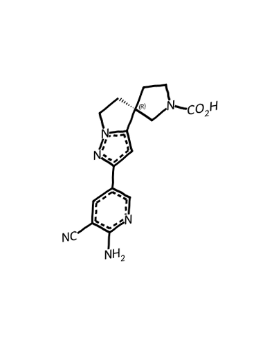 N#Cc1cc(-c2cc3n(n2)CC[C@@]32CCN(C(=O)O)C2)cnc1N